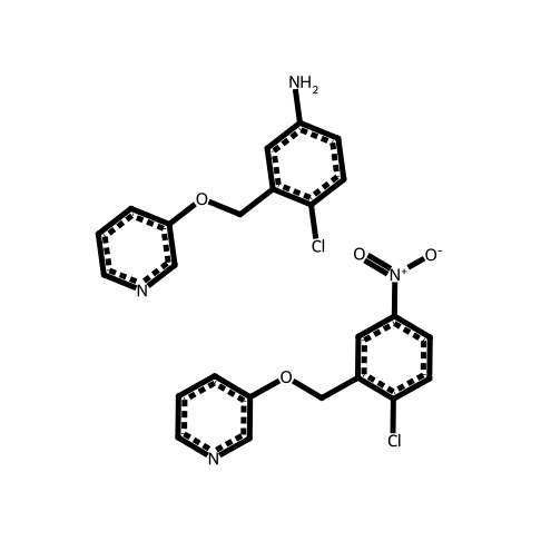 Nc1ccc(Cl)c(COc2cccnc2)c1.O=[N+]([O-])c1ccc(Cl)c(COc2cccnc2)c1